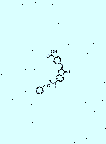 O=C(Nc1ccc2c(c1)C/C(=C\c1ccc(C(=O)O)cc1)C2=O)OCc1ccccc1